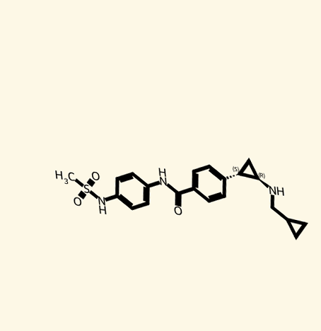 CS(=O)(=O)Nc1ccc(NC(=O)c2ccc([C@@H]3C[C@H]3NCC3CC3)cc2)cc1